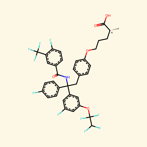 C[C@H](CCCOc1ccc(CC(NC(=O)c2ccc(F)c(C(F)(F)F)c2)(c2ccc(F)cc2)c2cc(F)cc(OC(F)(F)C(F)F)c2)cc1)C(=O)O